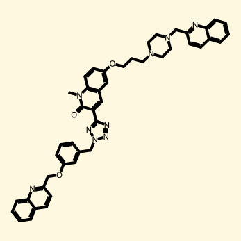 Cn1c(=O)c(-c2nnn(Cc3cccc(OCc4ccc5ccccc5n4)c3)n2)cc2cc(OCCCN3CCN(Cc4ccc5ccccc5n4)CC3)ccc21